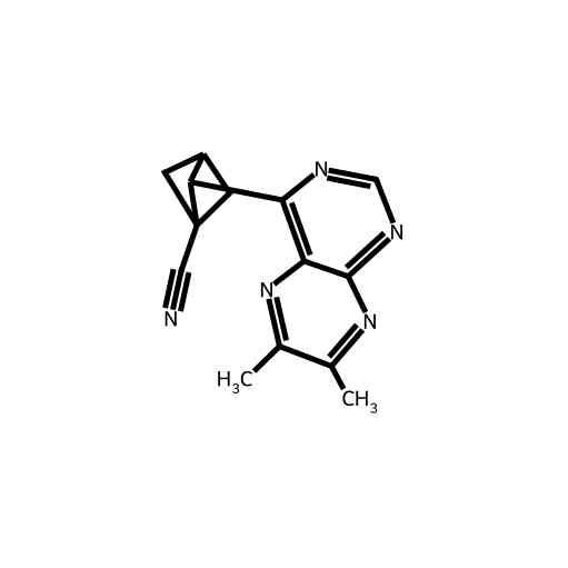 Cc1nc2ncnc(C3C4CC3(C#N)C4)c2nc1C